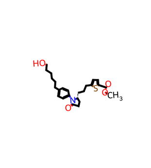 COC(=O)c1ccc(CCC[C@@H]2CCC(=O)N2c2ccc(CCCCCCO)cc2)s1